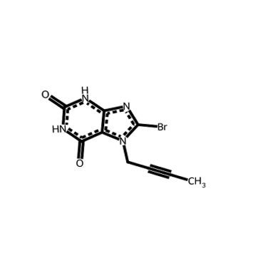 CC#CCn1c(Br)nc2[nH]c(=O)[nH]c(=O)c21